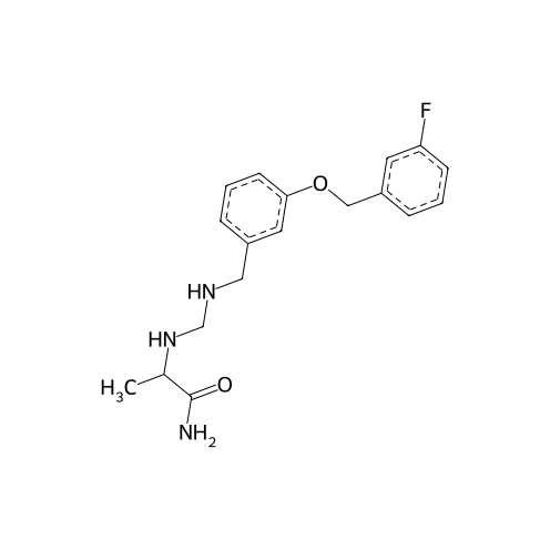 CC(NCNCc1cccc(OCc2cccc(F)c2)c1)C(N)=O